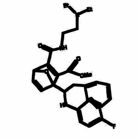 CCN(CC)CCNC(=O)C1=C(C(=O)OC)C2(C(Cc3ccccc3)Nc3ccc(F)cc3)C=CC1O2